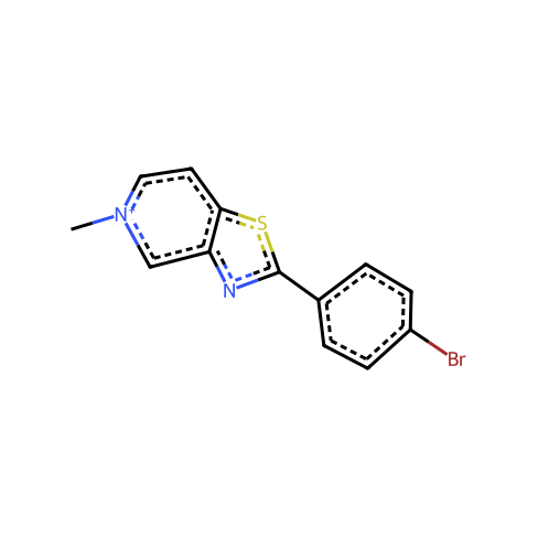 C[n+]1ccc2sc(-c3ccc(Br)cc3)nc2c1